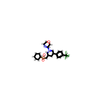 O=S(=O)(CC1CC(c2ccc(C(F)(F)F)cc2)CN(C2COCC[N]2)C1)C1CCCCC1